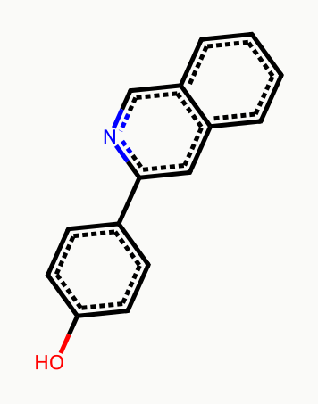 Oc1ccc(-c2cc3ccccc3cn2)cc1